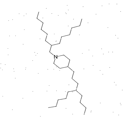 CCCCCCC(CCCCCC)CN1CCC(CCCC(CCCC)CCCCC)CC1